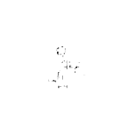 CCCCCC(=O)NCCCC(=NNC(N)=S)c1ccccc1